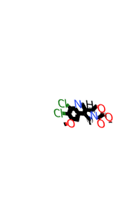 COc1cc2c3c(cnc2c(Cl)c1Cl)[C@@H]1CO[C@@H](OC)C(=O)N1[C@H]3C